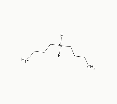 CCCC[Si](F)(F)CCCC